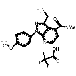 CNC(=O)c1ccnc2c1c(CN)nn2-c1ccc(OC(F)(F)F)cc1.O=C(O)C(F)(F)F